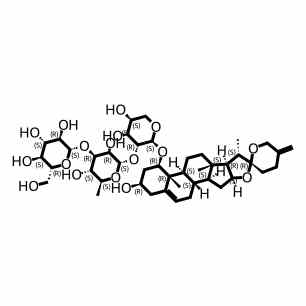 C=C1CC[C@@]2(OC1)O[C@H]1C[C@H]3[C@@H]4CC=C5C[C@@H](O)C[C@@H](O[C@@H]6OC[C@H](O)[C@H](O)[C@H]6O[C@@H]6O[C@@H](C)[C@H](O)[C@@H](O[C@@H]7O[C@H](CO)[C@@H](O)[C@H](O)[C@H]7O)[C@H]6O)[C@]5(C)[C@H]4CC[C@]3(C)[C@H]1[C@@H]2C